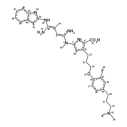 CC(/C=C(\N)N(C)c1nc(C(=O)O)c(CCCOc2ccc(CCCN(C)C)cc2F)s1)=C(/N)Nc1nc2ccccc2s1